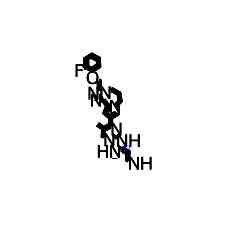 CN/C(=C\C=N)Nc1ncc(C)c(-c2cc3n(c2)CCCn2c(COc4ccccc4F)nnc2-3)n1